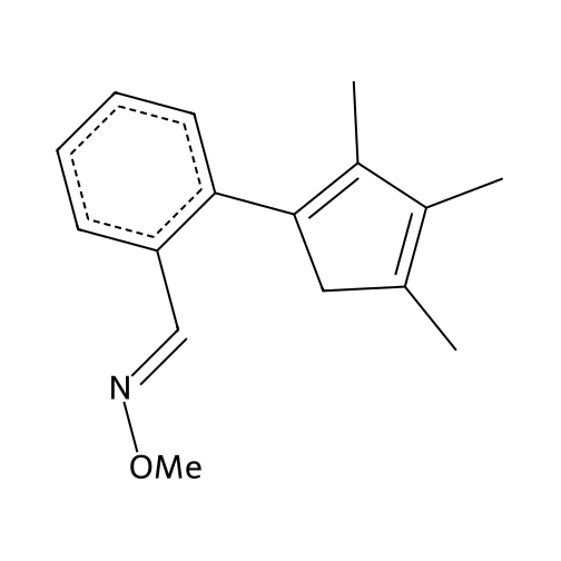 CON=Cc1ccccc1C1=C(C)C(C)=C(C)C1